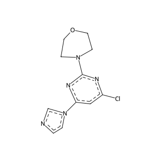 Clc1cc(-n2ccnc2)nc(N2CCOCC2)n1